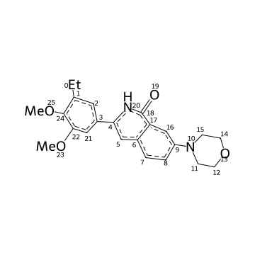 CCc1cc(-c2cc3ccc(N4CCOCC4)cc3c(=O)[nH]2)cc(OC)c1OC